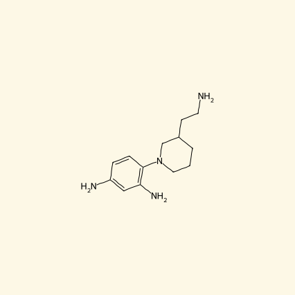 NCCC1CCCN(c2ccc(N)cc2N)C1